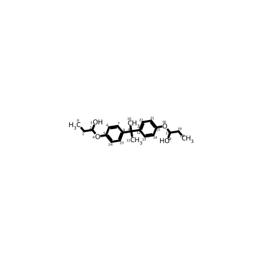 CCC(O)Oc1ccc(C(C)(C)c2ccc(OC(O)CC)cc2)cc1